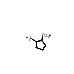 NC1[CH]CCC1C(=O)O